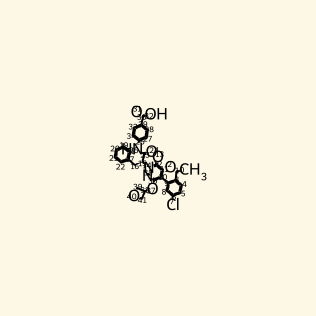 CC(=O)c1ccc(Cl)cc1-c1cc(=O)n([C@@H](Cc2ccccc2)C(=O)Nc2ccc(C(=O)O)cc2)nc1OC1COC1